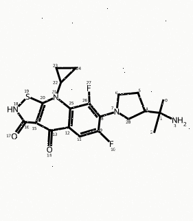 CC(C)(N)C1CCN(c2c(F)cc3c(=O)c4c(=O)[nH]sc4n(C4CC4)c3c2F)C1